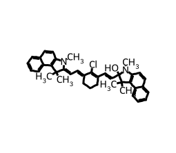 CN1/C(=C\C=C2/CCCC(/C=C/C3(O)N(C)c4ccc5ccccc5c4C3(C)C)=C2Cl)C(C)(C)c2c1ccc1ccccc21